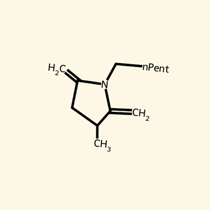 C=C1CC(C)C(=C)N1CCCCCC